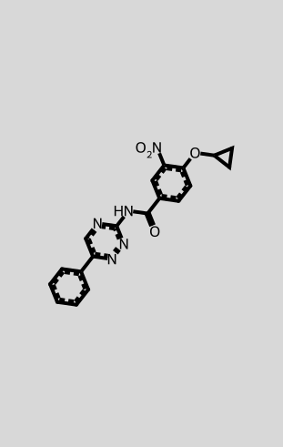 O=C(Nc1ncc(-c2ccccc2)nn1)c1ccc(OC2CC2)c([N+](=O)[O-])c1